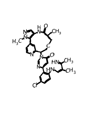 CC(=N)/C(C)=C\Nc1ccc(Cl)cc1-c1cc(=O)n(C2CCCC(C)C(=O)Nc3cnn(C)c3-c3ccnc2c3)cn1